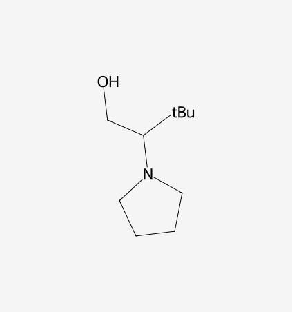 CC(C)(C)C(CO)N1CCCC1